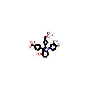 COCC1CC(c2c(-c3ccc(C(=O)O)cc3)c3c(O)cccc3n2-c2ccc(F)c(C)c2)C1